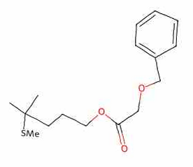 CSC(C)(C)CCCOC(=O)COCc1ccccc1